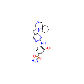 NS(=O)(=O)c1ccc(Nc2ncc3cc4n(c3n2)C2(C=NC4)CCCCC2)c(O)c1